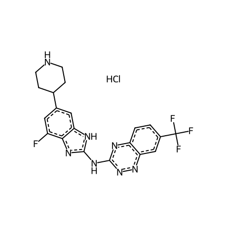 Cl.Fc1cc(C2CCNCC2)cc2[nH]c(Nc3nnc4cc(C(F)(F)F)ccc4n3)nc12